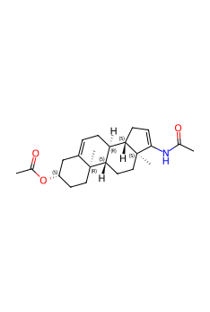 CC(=O)NC1=CC[C@H]2[C@@H]3CC=C4C[C@@H](OC(C)=O)CC[C@]4(C)[C@H]3CC[C@]12C